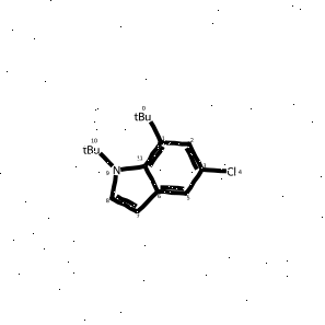 CC(C)(C)c1cc(Cl)cc2ccn(C(C)(C)C)c12